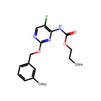 COCCOC(=O)Nc1nc(OCc2cccc(OC)c2)ncc1F